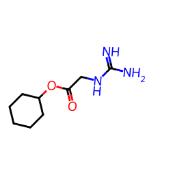 N=C(N)NCC(=O)OC1CCCCC1